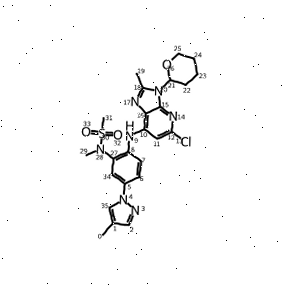 Cc1cnn(-c2ccc(Nc3cc(Cl)nc4c3nc(C)n4C3CCCCO3)c(N(C)S(C)(=O)=O)c2)c1